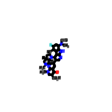 CN1C[C@@H]2CCN(c3c(-c4cnc5c(c4)c(=O)c(C(=O)O)cn5C)cnc4[nH]c5c(N(C)C=O)cc(F)c(C#N)c5c34)[C@@H]2C1